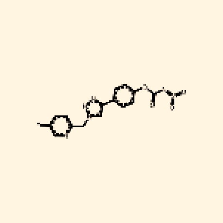 O=C(N=S(=O)=O)Oc1ccc(-c2cn(Cc3ccc(F)cn3)nn2)cc1